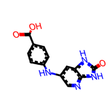 O=C(O)c1ccc(Nc2cnc3[nH]c(=O)[nH]c3c2)cc1